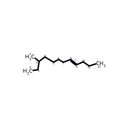 [CH2]CC(C)CCCC/C=C/CCC